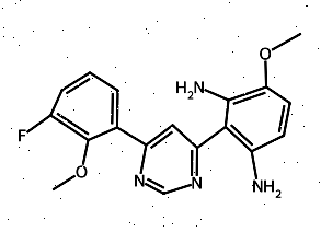 COc1ccc(N)c(-c2cc(-c3cccc(F)c3OC)ncn2)c1N